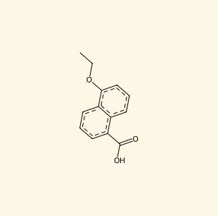 CCOc1cccc2c(C(=O)O)cccc12